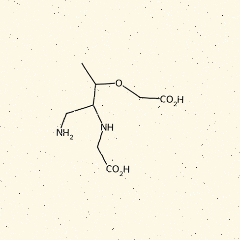 CC(OCC(=O)O)C(CN)NCC(=O)O